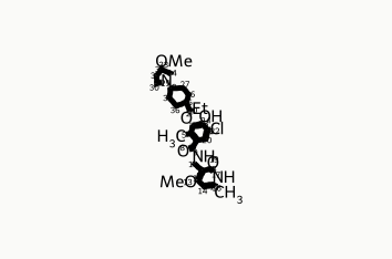 CC[C@@H](Oc1c(C)c(C(=O)NCc2c(OC)cc(C)[nH]c2=O)cc(Cl)c1O)C1CCC(N2CC[C@@H](OC)C2)CC1